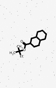 CCC(C)(C)OC(=O)C1CCC2CCCCC2C1